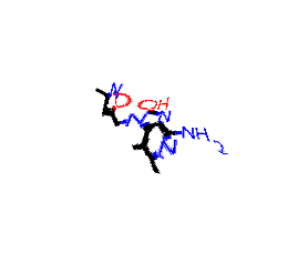 Cc1cc(Cn2c(O)nc3c(N)nc(C)c(C)c32)on1